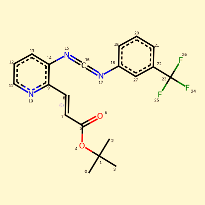 CC(C)(C)OC(=O)/C=C/c1ncccc1N=C=Nc1cccc(C(F)(F)F)c1